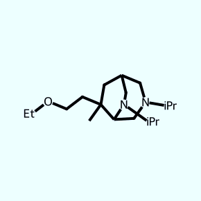 CCOCCC1(C)CC2CN(C(C)C)CC1N(C(C)C)C2